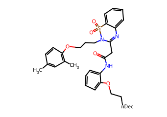 CCCCCCCCCCCCOc1ccccc1NC(=O)CC1=Nc2ccccc2S(=O)(=O)N1CCCOc1ccc(C)cc1C